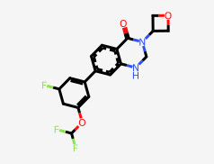 O=C1c2ccc(C3=CC(F)CC(OC(F)F)=C3)cc2NCN1C1COC1